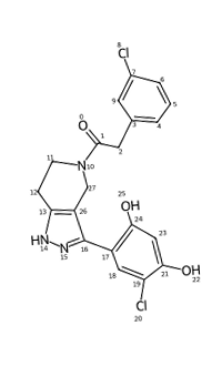 O=C(Cc1cccc(Cl)c1)N1CCc2[nH]nc(-c3cc(Cl)c(O)cc3O)c2C1